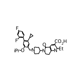 CCc1nc2c(cc1C(=O)O)C(=O)N(C1CCN(Cc3cc(C4CC4)c(-c4ccc(F)cc4F)cc3OC(C)C)CC1)CC2